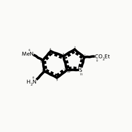 CCOC(=O)c1cc2cc(NC)c(N)cc2s1